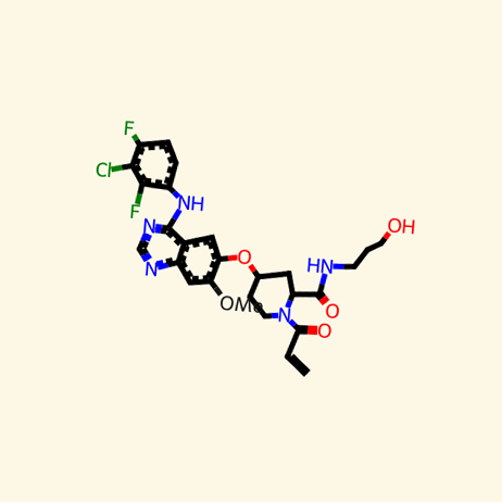 C=CC(=O)N1CCC(Oc2cc3c(Nc4ccc(F)c(Cl)c4F)ncnc3cc2OC)CC1C(=O)NCCCO